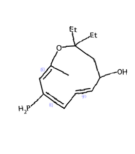 CCC1(CC)CC(O)/C=C/C=C(P)\C=C(/C)O1